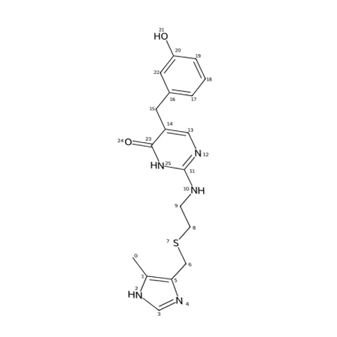 Cc1[nH]cnc1CSCCNc1ncc(Cc2cccc(O)c2)c(=O)[nH]1